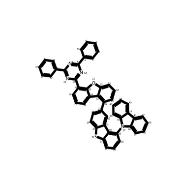 c1ccc(-c2nc(-c3ccccc3)nc(-c3cccc4c3oc3cccc(-c5ccc6sc7cccc(-n8c9ccccc9c9ccccc98)c7c6c5)c34)n2)cc1